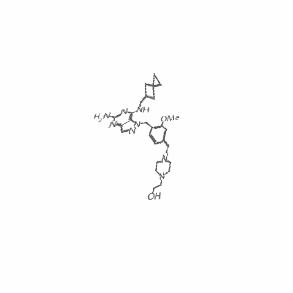 COc1cc(CN2CCN(CCO)CC2)ccc1Cn1ncc2nc(N)nc(NCC3CC4(CC4)C3)c21